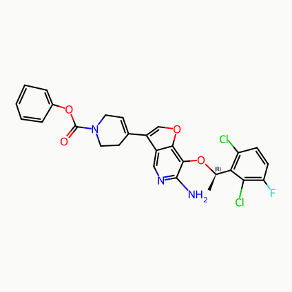 C[C@@H](Oc1c(N)ncc2c(C3=CCN(C(=O)Oc4ccccc4)CC3)coc12)c1c(Cl)ccc(F)c1Cl